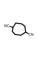 N#CC1CCCC(C#N)CCC1